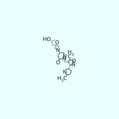 Cc1ccc(-c2noc(C)c2Cn2ncc(N3CC4(C[C@H](O)CO4)C3)cc2=O)cn1